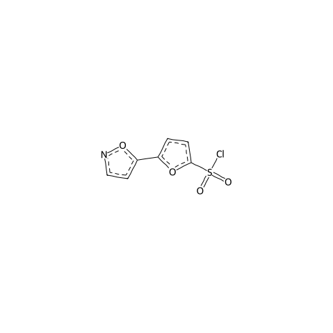 O=S(=O)(Cl)c1ccc(-c2ccno2)o1